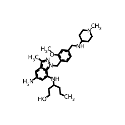 CCCC(CCO)Nc1cc(N)cc2c(C)nn(Cc3ccc(CNC4CCN(C)CC4)cc3OC)c12